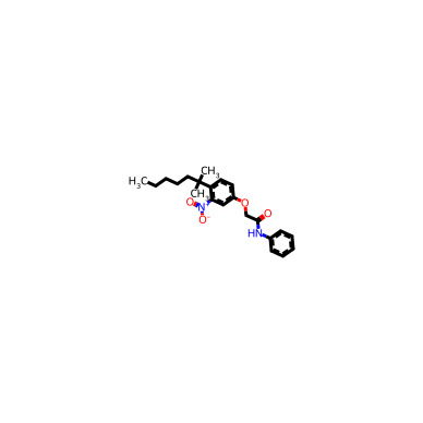 CCCCCC(C)(C)c1ccc(OCC(=O)Nc2ccccc2)cc1[N+](=O)[O-]